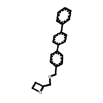 c1ccc(-c2ccc(-c3ccc(COCC4CCO4)cc3)cc2)cc1